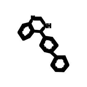 C1=Nc2ccccc2C(c2ccc(-c3ccccc3)cc2)N1